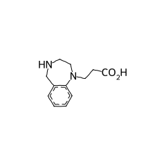 O=C(O)CCN1CCNCc2ccccc21